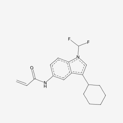 C=CC(=O)Nc1ccc2c(c1)c(C1CCCCC1)cn2C(F)F